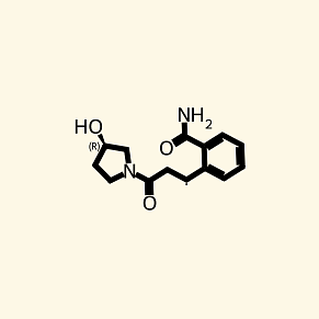 NC(=O)c1ccccc1[CH]CC(=O)N1CC[C@@H](O)C1